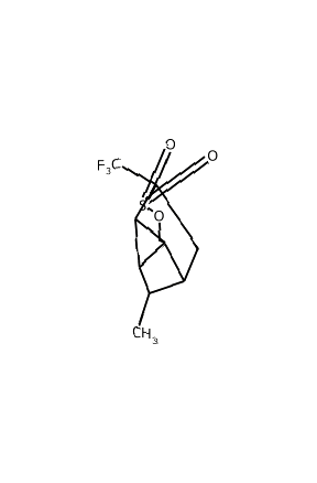 CC1C2CC3(C(F)(F)F)C4C1C24COS3(=O)=O